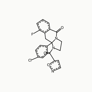 O=C(c1ccno1)N1CCN2C(=O)c3cccc(F)c3CC12c1ccc(Cl)cc1